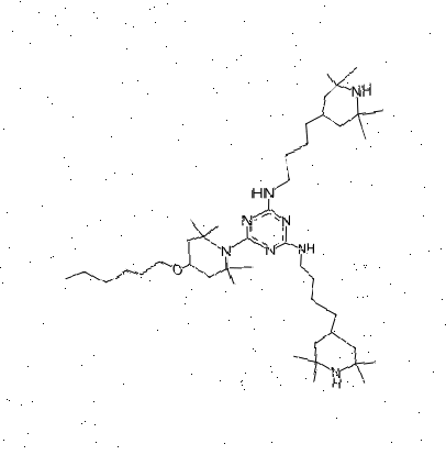 CCCCCCOC1CC(C)(C)N(c2nc(NCCCCC3CC(C)(C)NC(C)(C)C3)nc(NCCCCC3CC(C)(C)NC(C)(C)C3)n2)C(C)(C)C1